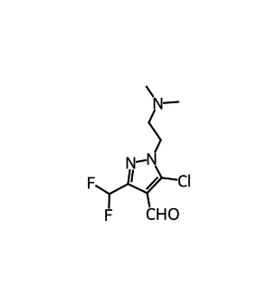 CN(C)CCn1nc(C(F)F)c(C=O)c1Cl